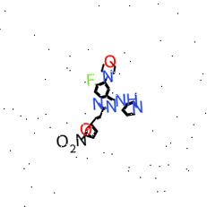 O=[N+]([O-])c1ccc(C=Cc2nc(Nc3cccnc3)c3cc(N4CCOCC4)c(F)cc3n2)o1